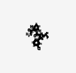 CN(C)c1nc(C(=O)N2[C@@H]3CC[C@@H](C3)[C@@H]2C(N)=O)c(-c2cccc(Cl)c2)s1